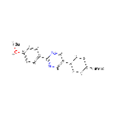 CCCCCC1CCC(c2cnc(-c3ccc(OCCCC)cc3)nc2)CC1